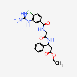 CCOC(=O)CC(NC(=O)CNC(=O)c1ccc(Cl)c(NC(=N)N)c1)c1ccccc1